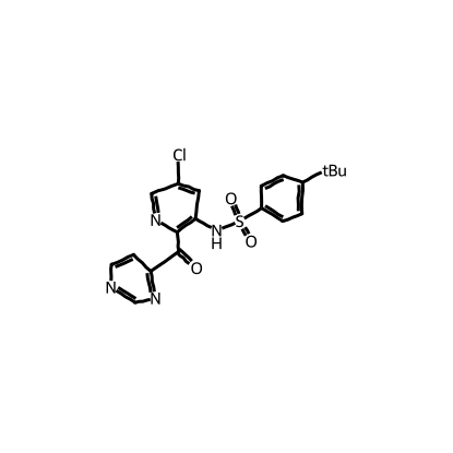 CC(C)(C)c1ccc(S(=O)(=O)Nc2cc(Cl)cnc2C(=O)c2ccncn2)cc1